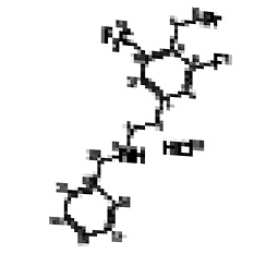 CC(C)Cc1c(F)cc(CCNCc2ccccc2)cc1C(F)(F)F.Cl